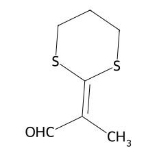 CC(C=O)=C1SCCCS1